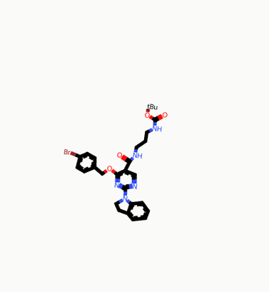 CC(C)(C)OC(=O)NCCCNC(=O)c1cnc(N2CCc3ccccc32)nc1OCc1ccc(Br)cc1